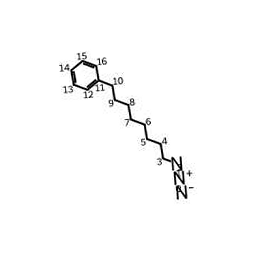 [N-]=[N+]=NCCCCCCCCc1ccccc1